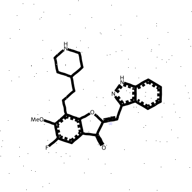 COc1c(F)cc2c(c1CCC1CCNCC1)O/C(=C\c1n[nH]c3ccccc13)C2=O